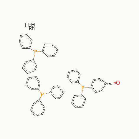 [C]=O.[H][H].[Rh].c1ccc(P(c2ccccc2)c2ccccc2)cc1.c1ccc(P(c2ccccc2)c2ccccc2)cc1.c1ccc(P(c2ccccc2)c2ccccc2)cc1